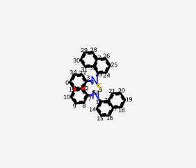 c1ccc(N(SN(c2ccccc2)c2cccc3ccccc23)c2cccc3ccccc23)cc1